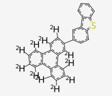 [2H]c1c([2H])c([2H])c2c(c1[2H])c1c([2H])c([2H])c([2H])c([2H])c1c1c([2H])c(-c3ccc4sc5ccccc5c4c3)c([2H])c([2H])c21